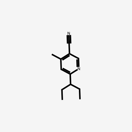 CCC(CC)c1cc(C)c(C#N)cn1